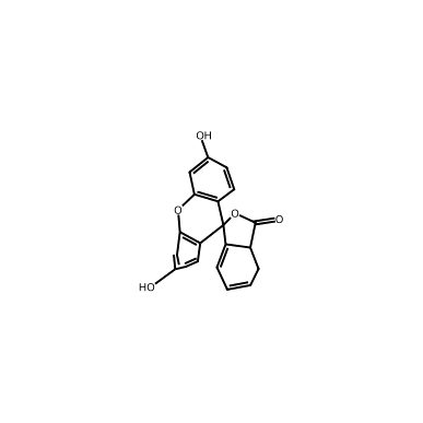 O=C1OC2(C3=CC=CCC13)c1ccc(O)cc1Oc1cc(O)ccc12